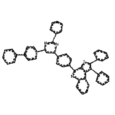 c1ccc(-c2ccc(-c3cc(-c4ccc(-c5nc6ccccc6c6c(-c7ccccc7)c(-c7ccccc7)sc56)cc4)nc(-c4ccccc4)n3)cc2)cc1